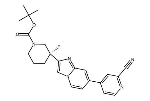 CC(C)(C)OC(=O)N1CCC[C@](F)(c2cn3ccc(-c4ccnc(C#N)c4)cc3n2)C1